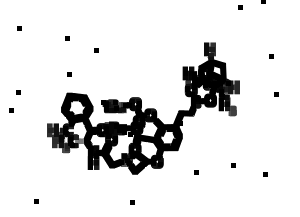 [CH2]c1ccccc1C(=O)[C@@H](C)NC(=O)CN1CC(Oc2ccc(CCB3O[C@@H]4C[C@@H]5C[C@@H](C5(C)C)[C@]4(C)O3)c(OC(=O)OC(C)(C)C)c2C(=O)OC(C)(C)C)C1